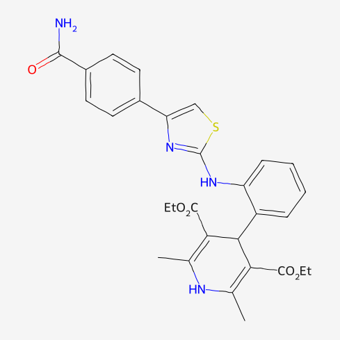 CCOC(=O)C1=C(C)NC(C)=C(C(=O)OCC)C1c1ccccc1Nc1nc(-c2ccc(C(N)=O)cc2)cs1